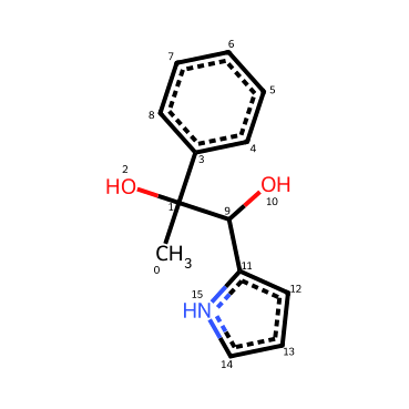 CC(O)(c1ccccc1)C(O)c1ccc[nH]1